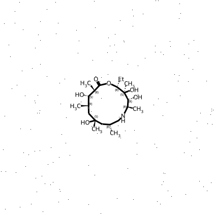 CC[C@H]1OC(=O)[C@H](C)[C@@H](O)[C@H](C)C[C@@](C)(O)C[C@@H](C)CN[C@H](C)[C@@H](O)[C@]1(C)O